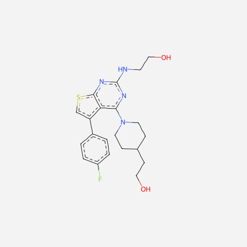 OCCNc1nc(N2CCC(CCO)CC2)c2c(-c3ccc(F)cc3)csc2n1